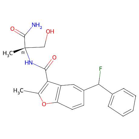 Cc1oc2ccc(C(F)c3ccccc3)cc2c1C(=O)N[C@@](C)(CO)C(N)=O